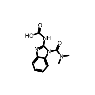 CN(C)C(=O)n1c(NC(=O)O)nc2ccccc21